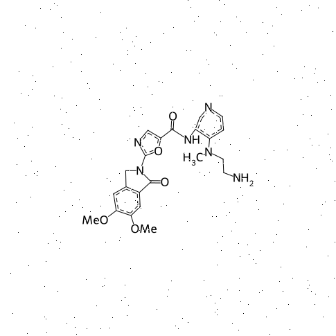 COc1cc2c(cc1OC)C(=O)N(c1ncc(C(=O)Nc3cnccc3N(C)CCN)o1)C2